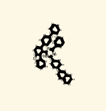 c1ccc(C2=NC(c3c(-c4ccc(-c5ccccc5)cc4)ccc4oc5ccccc5c34)NC(c3ccc(-c4ccc5ccccc5c4)cc3)=N2)cc1